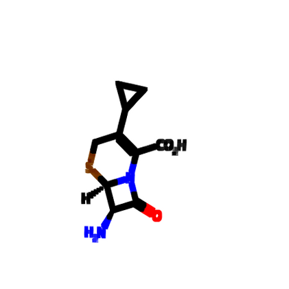 N[C@@H]1C(=O)N2C(C(=O)O)=C(C3CC3)CS[C@H]12